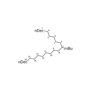 [CH2]CCCC(CCCCCCCCCCCCCCC)CCCCCCCCCCCCCCCCCC